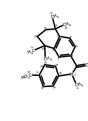 CN(C(=O)c1ccc2c(c1)C(C)(C)CCC2(C)C)c1ccc(C(=O)O)cc1